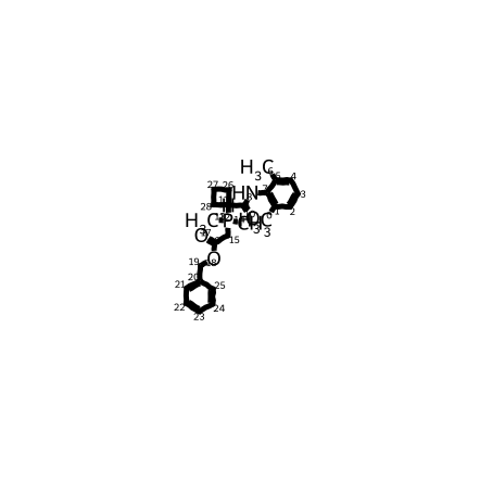 Cc1cccc(C)c1NC(=O)C1([PH](C)(C)CC(=O)OCc2ccccc2)CCC1